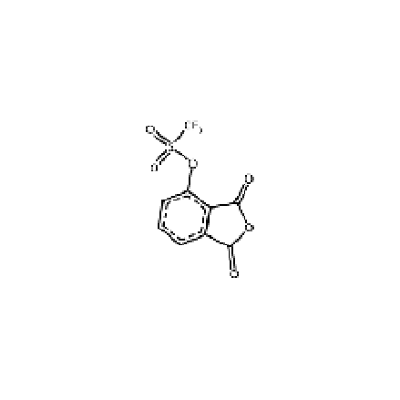 O=C1OC(=O)c2c(OS(=O)(=O)C(F)(F)F)cccc21